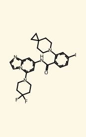 O=C(Nc1cc(N2CCC(F)(F)CC2)n2ccnc2c1)c1ccc(I)cc1N1CCC2(CC1)CC2